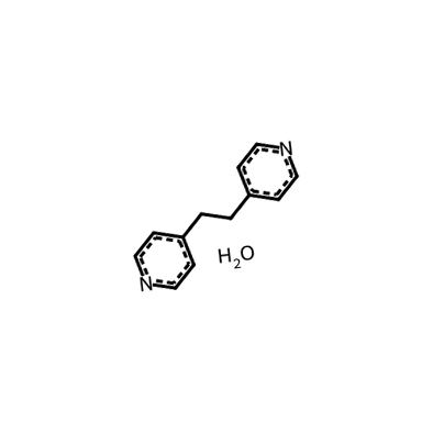 O.c1cc(CCc2ccncc2)ccn1